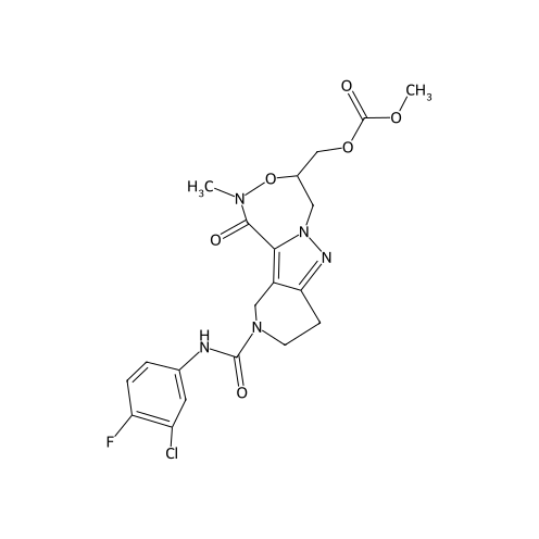 COC(=O)OCC1Cn2nc3c(c2C(=O)N(C)O1)CN(C(=O)Nc1ccc(F)c(Cl)c1)CC3